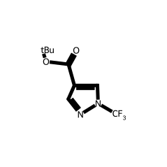 CC(C)(C)OC(=O)c1cnn(C(F)(F)F)c1